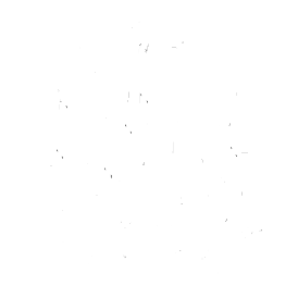 O=S(=O)(Nc1ccc(F)c(Nc2ncccc2-c2ncnc3c2ncn3C2CCCCO2)c1F)c1cccc2ccoc12